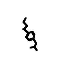 CCC[CH]c1ccc(CC(C)C)cc1